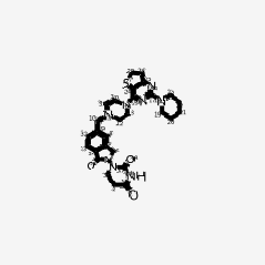 O=C1CCN(N2Cc3cc(CN4CCN(c5nc(N6CCCCC6)nc6c5SCC6)CC4)ccc3C2=O)C(=O)N1